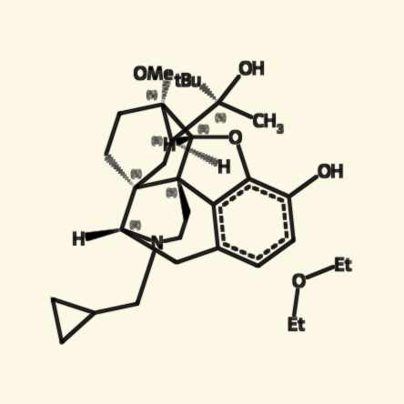 CCOCC.CO[C@@]12CC[C@@]3(C[C@@H]1[C@](C)(O)C(C)(C)C)[C@H]1Cc4ccc(O)c5c4[C@@]3(CCN1CC1CC1)[C@H]2O5